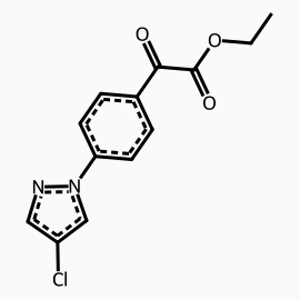 CCOC(=O)C(=O)c1ccc(-n2cc(Cl)cn2)cc1